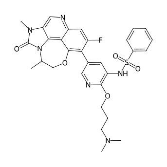 CC1COc2c(-c3cnc(OCCCN(C)C)c(NS(=O)(=O)c4ccccc4)c3)c(F)cc3ncc4c(c23)n1c(=O)n4C